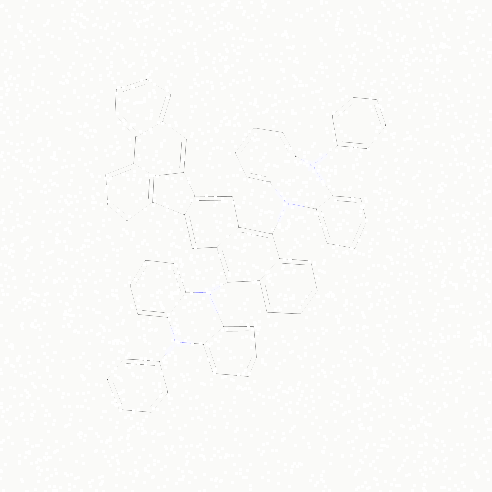 c1ccc(N2c3ccccc3N(c3c4ccccc4c(N4c5ccccc5N(c5ccccc5)c5ccccc54)c4cc5c(cc34)-c3cccc4c3c-5cc3ccccc34)c3ccccc32)cc1